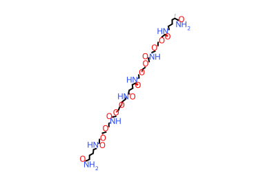 C[C@@H](CCCCNC(=O)COCCOCCNC(=O)COCCOCCNC(=O)CCCC(=O)NCCOCCOCC(=O)NCCOCCOCC(=O)NCCCCCC(N)=O)C(N)=O